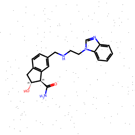 NC(=O)[C@@H]1c2cc(CNCCn3cnc4ccccc43)ccc2C[C@H]1O